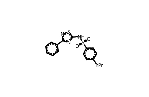 CCCc1ccc(S(=O)(=O)Nc2nc(-c3ccccc3)ns2)cc1